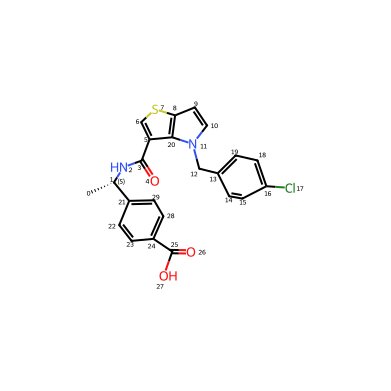 C[C@H](NC(=O)c1csc2ccn(Cc3ccc(Cl)cc3)c12)c1ccc(C(=O)O)cc1